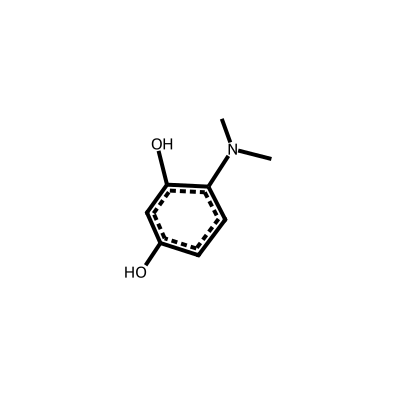 CN(C)c1ccc(O)cc1O